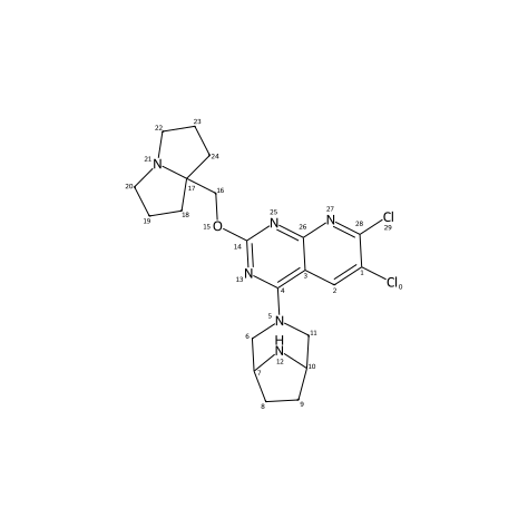 Clc1cc2c(N3CC4CCC(C3)N4)nc(OCC34CCCN3CCC4)nc2nc1Cl